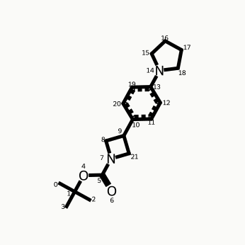 CC(C)(C)OC(=O)N1CC(c2ccc(N3CCCC3)cc2)C1